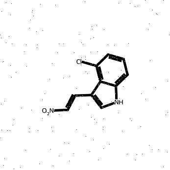 O=[N+]([O-])/C=C/c1c[nH]c2cccc(Cl)c12